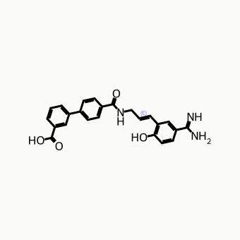 N=C(N)c1ccc(O)c(/C=C/CNC(=O)c2ccc(-c3cccc(C(=O)O)c3)cc2)c1